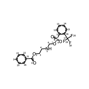 O=C(OCCNCOS(=O)(=O)c1ccccc1C(F)(F)F)c1ccccc1